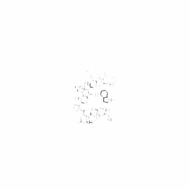 CC[C@H](C)[C@H](NC(=O)[C@@H](NC(=O)[C@@H](N(C)C(=O)[C@H](CC(=O)O)NC(=O)[C@@H]1CCCN1C(=O)[C@H](CC(=O)O)NC(=O)[C@H](CC(N)=O)NC(=O)[C@H](Cc1c[nH]c2ccccc12)NC(=O)CN)C(C)(C)C)C(C)C)C(=O)O